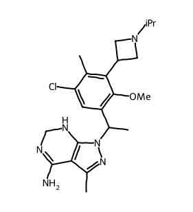 COc1c(C(C)n2nc(C)c3c2NCN=C3N)cc(Cl)c(C)c1C1CN(C(C)C)C1